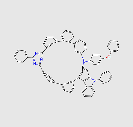 c1ccc(Oc2ccc(N3c4cccc(c4)-c4ccccc4-c4cccc(c4)-c4nc(-c5ccccc5)nc(n4)-c4ccc(cc4)-c4cccc(c4)-c4cc3cc3c4c4ccccc4n3-c3ccccc3)cc2)cc1